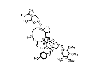 CC[C@H]1CCC[C@H](O[C@H]2CC[C@H](N(C)C)C(C)O2)[C@@H](C)C(=O)C2=C[C@H]3[C@@H]4C[C@H](O[C@@H]5OC(C)[C@H](OC)C(OC)C5OC)C[C@H]4[C@H](Nc4ccc(O)cc4)[C@@H](O)[C@H]3[C@@H]2CC(=O)O1